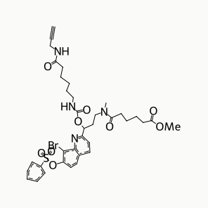 C#CCNC(=O)CCCCCNC(=O)OC(CCN(C)C(=O)CCCCC(=O)OC)c1ccc2ccc(OS(=O)(=O)c3ccccc3)c(Br)c2n1